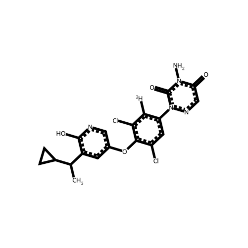 [2H]c1c(-n2ncc(=O)n(N)c2=O)cc(Cl)c(Oc2cnc(O)c(C(C)C3CC3)c2)c1Cl